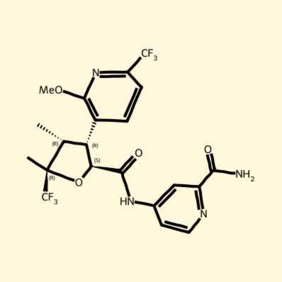 COc1nc(C(F)(F)F)ccc1[C@@H]1[C@@H](C(=O)Nc2ccnc(C(N)=O)c2)O[C@@](C)(C(F)(F)F)[C@@H]1C